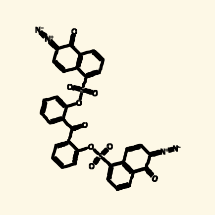 [N-]=[N+]=C1C=Cc2c(cccc2S(=O)(=O)Oc2ccccc2C(=O)c2ccccc2OS(=O)(=O)c2cccc3c2C=CC(=[N+]=[N-])C3=O)C1=O